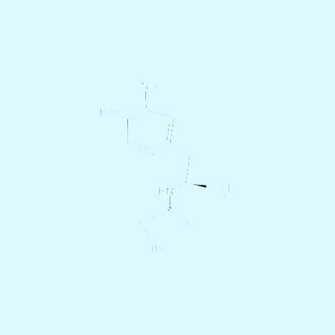 CC(C)(C)OC(=O)N[C@@H](Cc1ccc(O)c(N)c1)C(=O)O